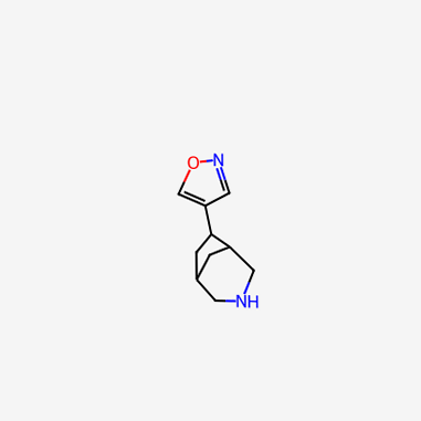 c1nocc1C1CC2CNCC1C2